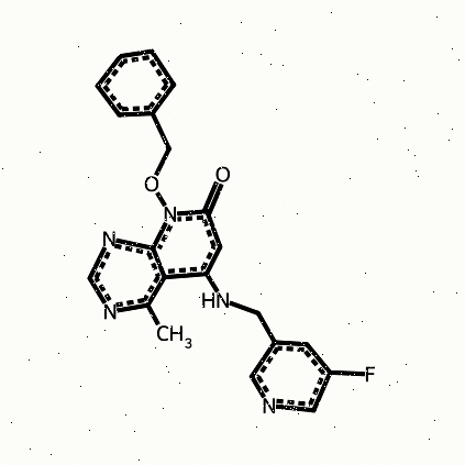 Cc1ncnc2c1c(NCc1cncc(F)c1)cc(=O)n2OCc1ccccc1